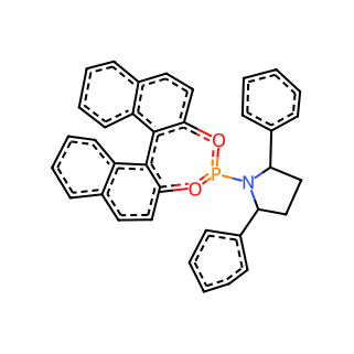 c1ccc(C2CCC(c3ccccc3)N2p2oc3ccc4ccccc4c3c3c(ccc4ccccc43)o2)cc1